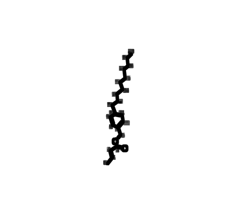 C/C=C/C(=O)OCc1ccc(CCCCCCCCCC)cc1